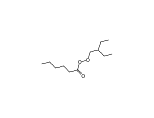 CCCCCC(=O)OOCC(CC)CC